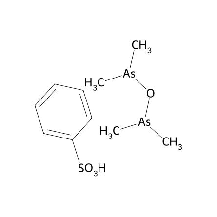 C[As](C)O[As](C)C.O=S(=O)(O)c1ccccc1